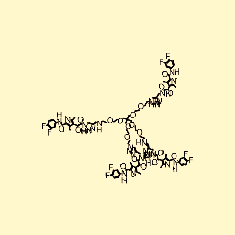 Cc1c(C(=O)C(=O)NC/C(=C/NCCOCCOCC(COCCOCCN/C=C(/CNC(=O)C(=O)c2c(C)c(C(=O)Nc3ccc(F)c(F)c3)n(C)c2C)N=N)(COCCOCCN/C=C(/CNC(=O)C(O)c2c(C)c(C(=O)Nc3ccc(F)c(F)c3)n(C)c2C)N=N)COCCOCCn2cc(CNC(=O)C(=O)c3c(C)c(C(=O)Nc4ccc(F)c(F)c4)n(C)c3C)nn2)N=N)c(C)n(C)c1C(=O)Nc1ccc(F)c(F)c1